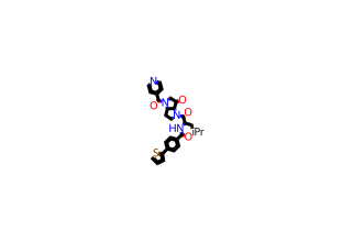 CC(C)CC(NC(=O)c1ccc(-c2cccs2)cc1)C(=O)N1CCC2C1C(=O)CN2C(=O)c1ccncc1